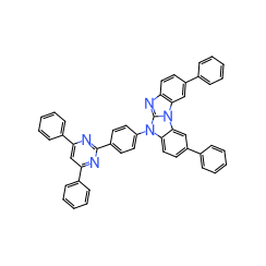 c1ccc(-c2ccc3nc4n(-c5ccc(-c6nc(-c7ccccc7)cc(-c7ccccc7)n6)cc5)c5ccc(-c6ccccc6)cc5n4c3c2)cc1